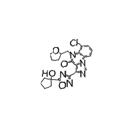 O=c1c2c(-c3noc(C4(O)CCCC4)n3)ncn2c2cccc(Cl)c2n1CC1CCCO1